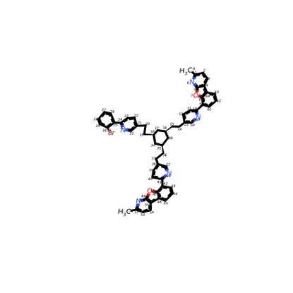 Cc1ccc2c(n1)oc1c(-c3ccc(CC[C@@H]4C[C@H](CCc5ccc(-c6ccccc6Br)nc5)C[C@H](CCc5ccc(-c6cccc7c6oc6nc(C)ccc67)nc5)C4)cn3)cccc12